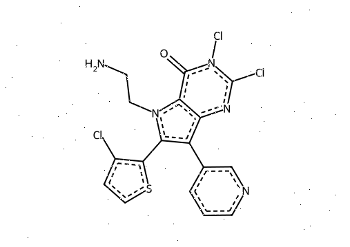 NCCn1c(-c2sccc2Cl)c(-c2cccnc2)c2nc(Cl)n(Cl)c(=O)c21